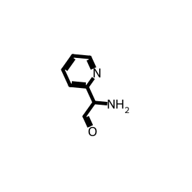 NC(C=O)c1ccccn1